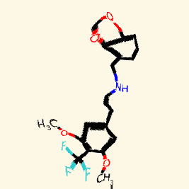 COc1cc(CCNCc2cccc3c2OCO3)cc(OC)c1C(F)(F)F